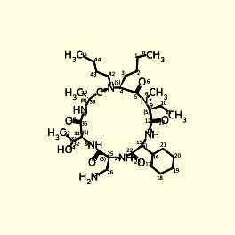 CCCC[C@H]1C(=O)N(C)[C@@H](CC)C(=O)N[C@@H](C2CCCCC2)C(=O)N[C@@H](CN)C(=O)N[C@@H]([C@H](C)O)C(=O)N[C@H](C)CN1CCCC